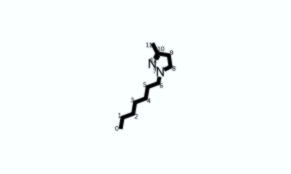 CCCCCCCN1CCC(C)=N1